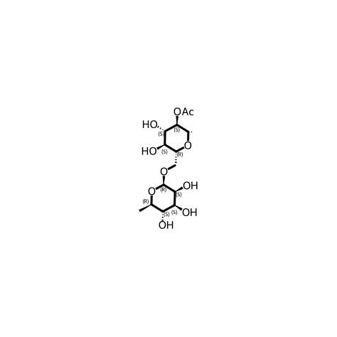 CC(=O)O[C@H]1[CH]O[C@H](CO[C@@H]2O[C@H](C)[C@@H](O)[C@H](O)[C@@H]2O)[C@@H](O)[C@@H]1O